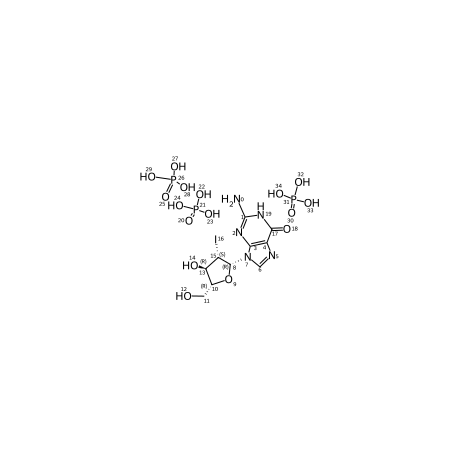 Nc1nc2c(ncn2[C@@H]2O[C@H](CO)[C@@H](O)[C@@H]2I)c(=O)[nH]1.O=P(O)(O)O.O=P(O)(O)O.O=P(O)(O)O